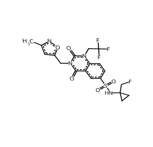 Cc1cc(Cn2c(=O)c3cc(S(=O)(=O)NC4(CF)CC4)ccc3n(CC(F)(F)F)c2=O)on1